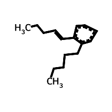 CCCC=Cc1ccccc1CCCCC